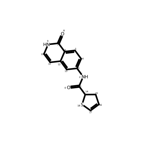 O=C(Nc1ccc2c(=O)[nH]ccc2c1)C1CC=CS1